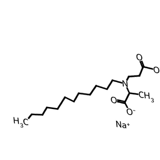 CCCCCCCCCCCCN(CCC(=O)O)C(C)C(=O)[O-].[Na+]